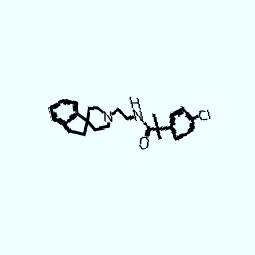 CC(C)(C(=O)NCCN1CCC2(CCc3ccccc32)CC1)c1ccc(Cl)cc1